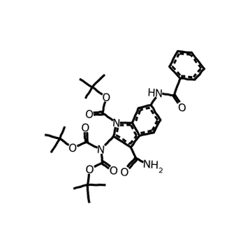 CC(C)(C)OC(=O)N(C(=O)OC(C)(C)C)c1c(C(N)=O)c2ccc(NC(=O)c3ccccc3)cc2n1C(=O)OC(C)(C)C